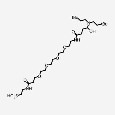 CC(C)(C)CCN(CCC(C)(C)C)C(O)CCC(=O)NCCOCCOCCOCCOCCC(=O)NCCS(=O)(=O)O